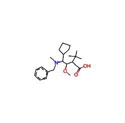 CO[C@H](C(C(=O)O)C(C)(C)C)[C@H](C1CCCC1)N(C)Cc1ccccc1